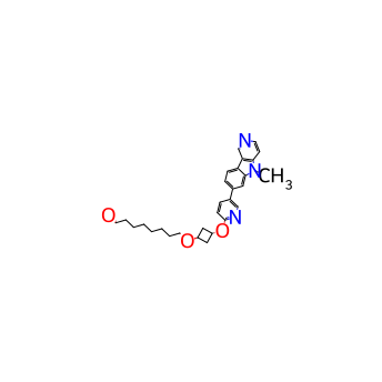 Cn1c2ccncc2c2ccc(-c3ccc(O[C@H]4C[C@H](OCCCCCCCC=O)C4)nc3)cc21